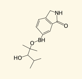 CC(C)C(O)C(C)(C)OBc1ccc2c(c1)C(=O)NC2